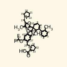 Cc1ccccc1C1=CC=CC(c2nc(C)c(CN3CCCC3)o2)(c2nc3cc(CN4CCC[C@H]4C(=O)O)c(OC(F)F)cc3o2)C1C